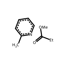 CCC(=O)OC.Cc1ccccn1